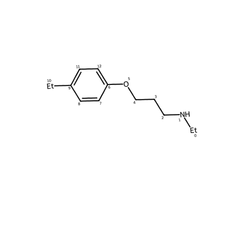 CCNCCCOc1ccc(CC)cc1